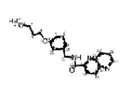 COCCCOc1cccc(CNC(=O)c2ccc3ncccc3n2)c1